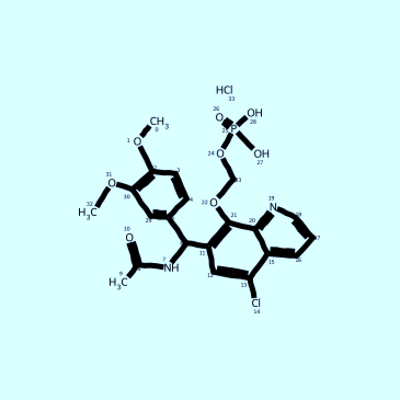 COc1ccc(C(NC(C)=O)c2cc(Cl)c3cccnc3c2OCOP(=O)(O)O)cc1OC.Cl